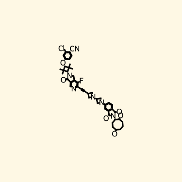 CC1(C)[C@H](Oc2ccc(C#N)c(Cl)c2)C(C)(C)[C@H]1N1Cc2c(cnc(C#CC3CN(C4CN(c5ccc6c(c5)C(=O)N(C5CCC(=O)CCCC5=O)C6=O)C4)C3)c2F)C1=O